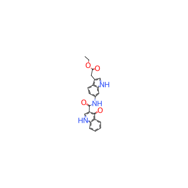 CCOC(=O)Cc1c[nH]c2cc(NC(=O)c3c[nH]c4ccccc4c3=O)ccc12